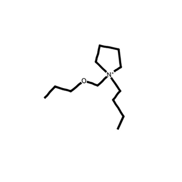 CCCC[N+]1(COCCC)CCCC1